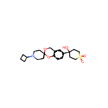 O=S1(=O)CCC(O)(c2ccc3c(c2)COC2(CCN(C4CCC4)CC2)O3)CC1